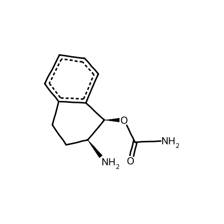 NC(=O)O[C@@H]1c2ccccc2CC[C@@H]1N